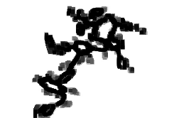 COc1ccc(Cn2c(C(F)(F)F)nc3c(N)nc(S(C)(=O)=O)nc32)cc1COc1cccc(CO)c1